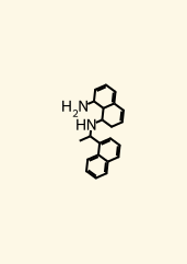 CC(NC1CC=CC2=CC=CC(N)C21)c1cccc2ccccc12